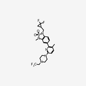 Cc1ccc(N2CCN(CC(F)(F)F)CC2)nc1-c1ccc2c(c1)N(C)S(=O)(=O)N2CC1CC1(F)F